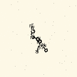 C[Si](C)(C)CCOCN(c1ccc2ncc(-c3cnn(CC4CCCN(CC(F)(F)F)C4)c3)cc2n1)c1nnc(C2CCCC2)s1